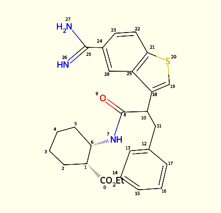 CCOC(=O)[C@@H]1CCCC[C@@H]1NC(=O)C(Cc1ccccc1)c1csc2ccc(C(=N)N)cc12